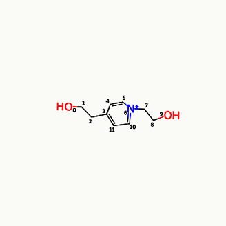 OCCc1cc[n+](CCO)cc1